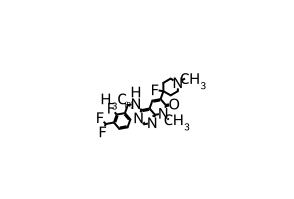 C[C@@H](Nc1ncnc2c1cc(C1(F)CCN(C)CC1)c(=O)n2C)c1cccc(C(F)F)c1F